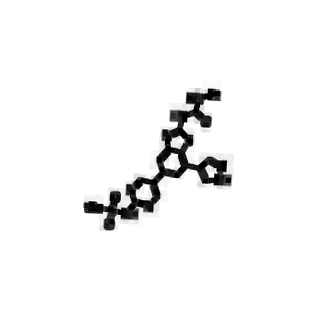 CCNC(=O)Nc1nc2cc(-c3cnc(NS(=O)(=O)C(C)(C)C)nc3)cc(-c3cn[nH]c3)c2s1